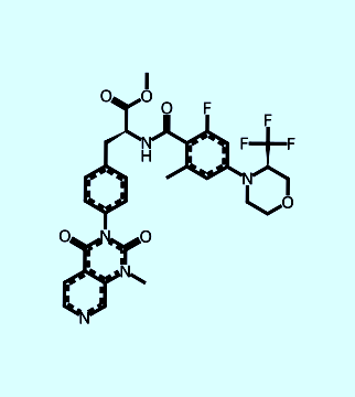 COC(=O)[C@H](Cc1ccc(-n2c(=O)c3ccncc3n(C)c2=O)cc1)NC(=O)c1c(C)cc(N2CCOC[C@@H]2C(F)(F)F)cc1F